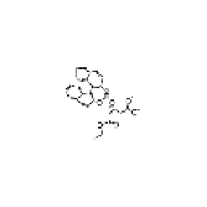 CCOC(=O)C[C@H](CC(OC)OC)Op1oc2ccc3ccccc3c2c2c(ccc3ccccc32)o1